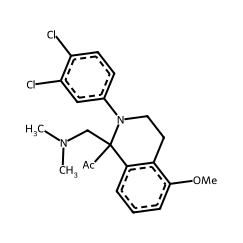 COc1cccc2c1CCN(c1ccc(Cl)c(Cl)c1)C2(CN(C)C)C(C)=O